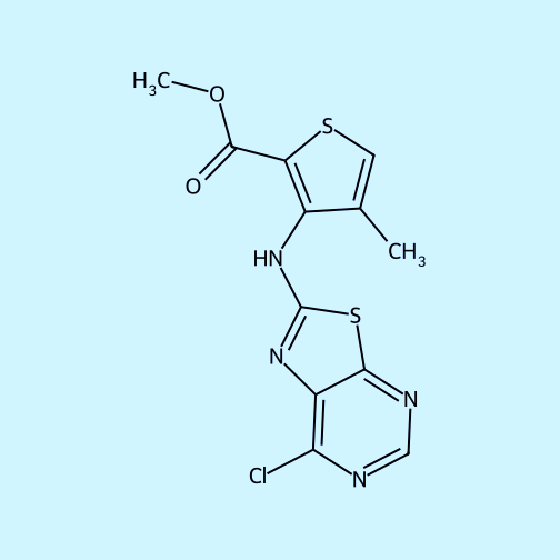 COC(=O)c1scc(C)c1Nc1nc2c(Cl)ncnc2s1